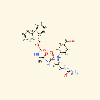 CC(C)C(NC(=O)OCC1c2ccccc2-c2ccccc21)C(=O)N[C@@H](CCCNC(N)=O)C(=O)Nc1ccc(CO)cc1